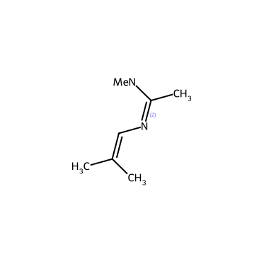 CN/C(C)=N\C=C(C)C